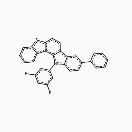 Fc1cc(F)cc(-n2c3ccc(-c4ccccc4)nc3c3ccc4sc5ccccc5c4c32)c1